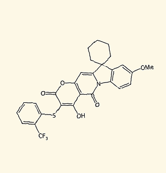 COc1ccc2c(c1)C1(CCCCC1)c1cc3oc(=O)c(Sc4ccccc4C(F)(F)F)c(O)c3c(=O)n1-2